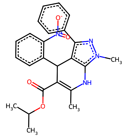 CC1=C(C(=O)OC(C)C)C(c2ccccc2[N+](=O)[O-])c2c(-c3ccccc3)nn(C)c2N1